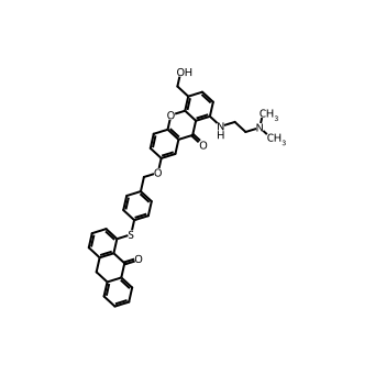 CN(C)CCNc1ccc(CO)c2oc3ccc(OCc4ccc(Sc5cccc6c5C(=O)c5ccccc5C6)cc4)cc3c(=O)c12